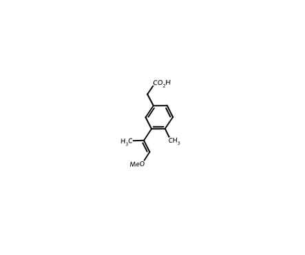 COC=C(C)c1cc(CC(=O)O)ccc1C